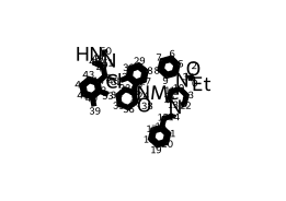 CCC(=O)N(c1ccccc1)C1CCN(CCc2ccccc2)CC1.CNC1(c2ccccc2Cl)CCCCC1=O.Cc1cccc([C@H](C)c2c[nH]cn2)c1C